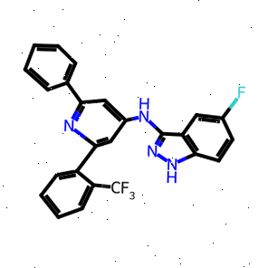 Fc1ccc2[nH]nc(Nc3cc(-c4ccccc4)nc(-c4ccccc4C(F)(F)F)c3)c2c1